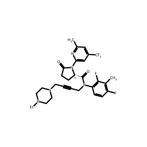 CCN1CCN(CC#CCN(C(=O)[C@@H]2CCC(=O)N2c2cc(C(F)(F)F)cc(C)n2)c2ccc(F)c(C)c2F)CC1